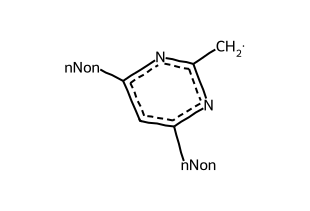 [CH2]c1nc(CCCCCCCCC)cc(CCCCCCCCC)n1